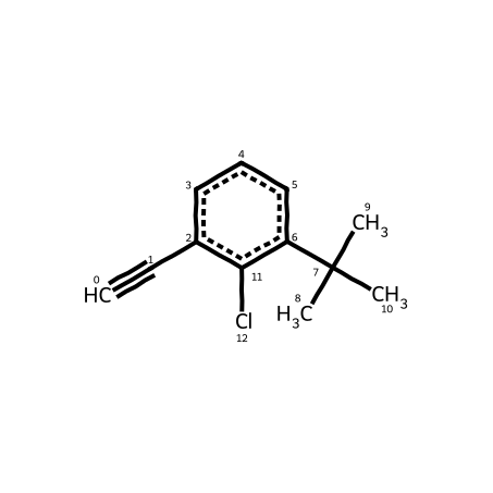 C#Cc1cccc(C(C)(C)C)c1Cl